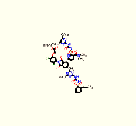 CCCCCOC(=O)COc1cc(N2C(=O)C3=C(CCCC3)C2=O)c(F)cc1Cl.COc1cc(OC)nc(NC(=O)NS(=O)(=O)c2ncccc2C(=O)N(C)C)n1.COc1nc(C)nc(NC(=O)NS(=O)(=O)c2ccccc2CCC(F)(F)F)n1